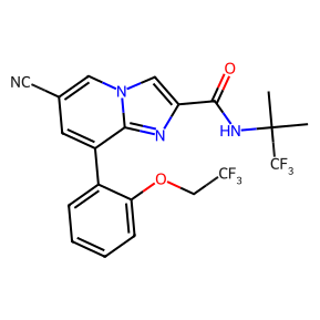 CC(C)(NC(=O)c1cn2cc(C#N)cc(-c3ccccc3OCC(F)(F)F)c2n1)C(F)(F)F